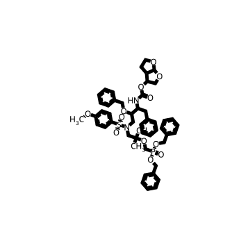 COc1ccc(S(=O)(=O)N(CC(OCc2ccccc2)C(Cc2ccccc2)NC(=O)OC2COC3OCCC23)CC(C)(C)OCP(=O)(OCc2ccccc2)OCc2ccccc2)cc1